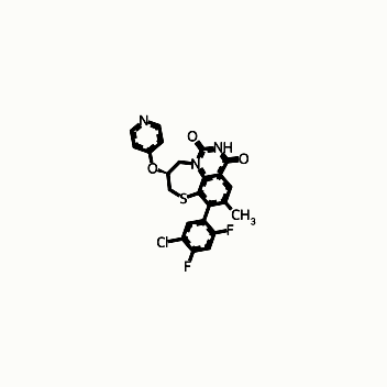 Cc1cc2c(=O)[nH]c(=O)n3c2c(c1-c1cc(Cl)c(F)cc1F)SC[C@@H](Oc1ccncc1)C3